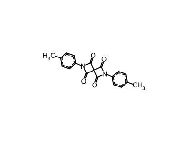 Cc1ccc(N2C(=O)C3(C2=O)C(=O)N(c2ccc(C)cc2)C3=O)cc1